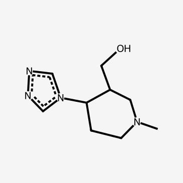 CN1CCC(n2cnnc2)C(CO)C1